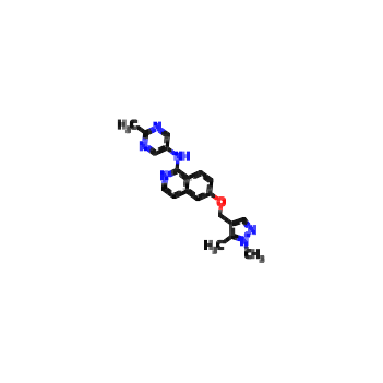 Cc1ncc(Nc2nccc3cc(OCc4cnn(C)c4C)ccc23)cn1